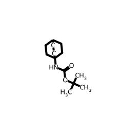 CC(C)(C)OC(=O)NC12CCC(CC1)CC2